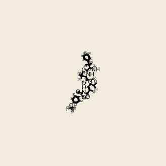 CNC(C(=O)NC(C(=O)N(C)C(C=C(C)C(=O)NS(=O)(=O)c1ccc(OC(F)(F)F)cc1)C(C)C)C(C)(C)C)C(C)(C)c1ccccc1